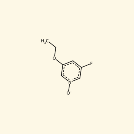 CCOc1cc(F)c[n+]([O-])c1